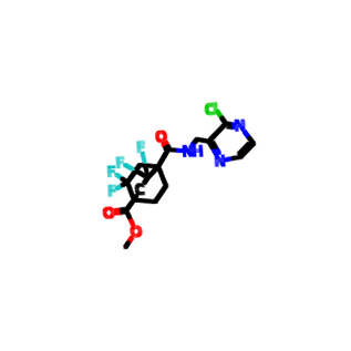 COC(=O)C12CCC(C(=O)NCc3nccnc3Cl)(CC1(F)F)C(F)(F)C2